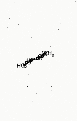 COC(=O)c1ccc2nc(-c3ccc(C=Cc4ccc(-c5nc6ccc(C(=O)CO)cc6o5)cc4)cc3)oc2c1